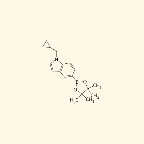 CC1(C)OB(c2ccc3c(ccn3CC3CC3)c2)OC1(C)C